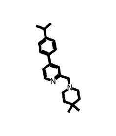 CC(C)c1ccc(-c2ccnc(CN3CCC(C)(C)CC3)c2)cc1